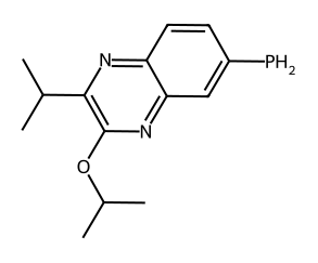 CC(C)Oc1nc2cc(P)ccc2nc1C(C)C